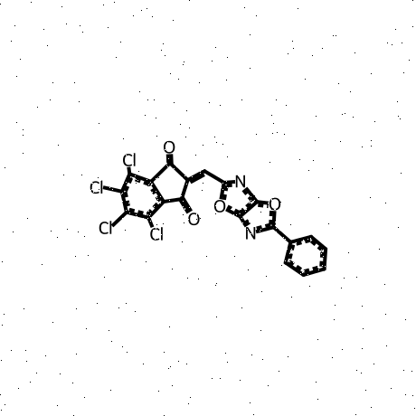 O=C1C(=Cc2nc3oc(-c4ccccc4)nc3o2)C(=O)c2c(Cl)c(Cl)c(Cl)c(Cl)c21